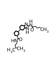 CCCCC(=O)Nc1nc2ccc(-c3cccc(C(=O)NCCC(C)C)c3)cc2[nH]1